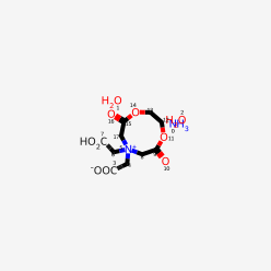 N.O.O.O=C([O-])C[N+]1(CC(=O)O)CC(=O)OCCOC(=O)C1